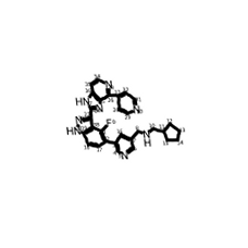 Fc1c(-c2cncc(CNCC3CCCC3)c2)ccc2[nH]nc(-c3nc4c(-c5ccncc5)nccc4[nH]3)c12